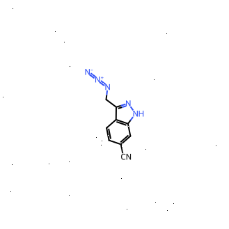 N#Cc1ccc2c(CN=[N+]=[N-])n[nH]c2c1